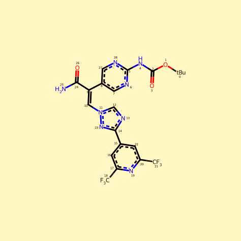 CC(C)(C)OC(=O)Nc1ncc(/C(=C\n2cnc(-c3cc(C(F)(F)F)nc(C(F)(F)F)c3)n2)C(N)=O)cn1